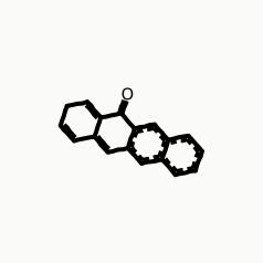 O=C1C2=CCC=CC2=Cc2cc3ccccc3cc21